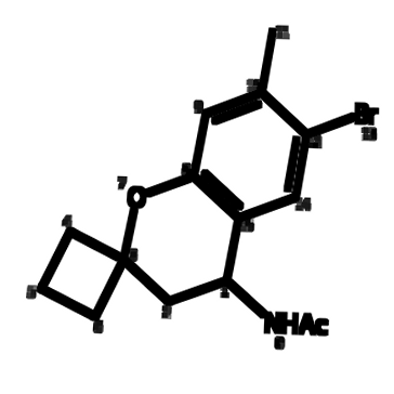 CC(=O)NC1CC2(CCC2)Oc2cc(C)c(Br)cc21